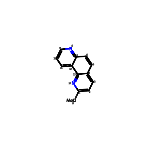 COc1ccc2ccc3ncccc3c2n1